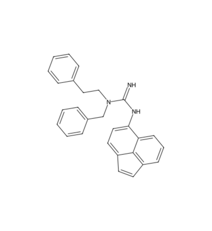 N=C(Nc1ccc2c3c(cccc13)C=C2)N(CCc1ccccc1)Cc1ccccc1